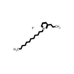 CCCCCCCCCCCC[n+]1cccc(CCC)c1.[F-]